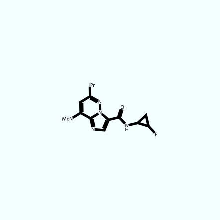 CNc1cc(C(C)C)nn2c(C(=O)NC3CC3F)cnc12